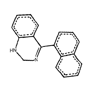 c1ccc2c(c1)NCN=C2c1cccc2ccccc12